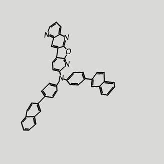 c1ccc2cc(-c3ccc(N(c4ccc(-c5ccc6ccccc6c5)cc4)c4ccc5c(n4)oc4nc6cccnc6cc45)cc3)ccc2c1